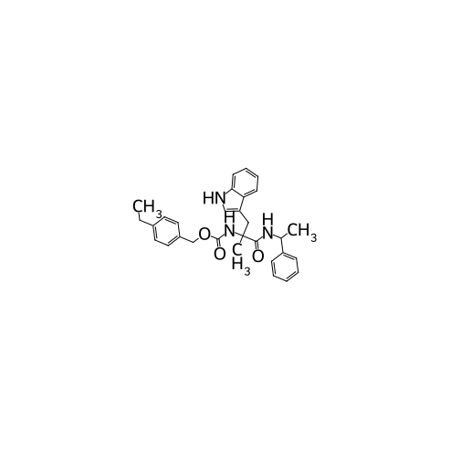 CCc1ccc(COC(=O)NC(C)(Cc2c[nH]c3ccccc23)C(=O)NC(C)c2ccccc2)cc1